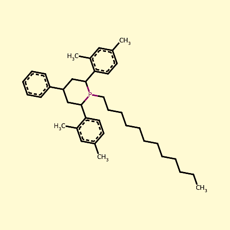 CCCCCCCCCCCCP1C(c2ccc(C)cc2C)CC(c2ccccc2)CC1c1ccc(C)cc1C